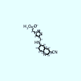 C[S+]([O-])Cn1cc(CNc2ccc3ncc(C#N)cc3c2)nn1